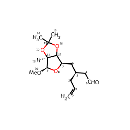 C=CC[C@H](CC=O)C[C@H]1O[C@@H](OC)[C@H]2OC(C)(C)OC12